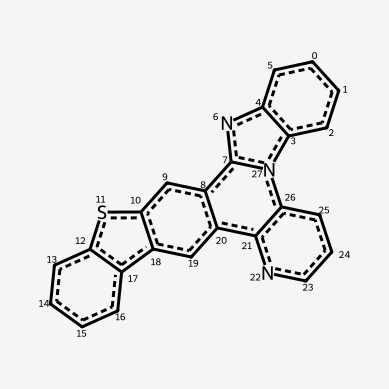 c1ccc2c(c1)nc1c3cc4sc5ccccc5c4cc3c3ncccc3n21